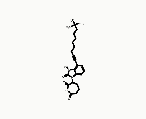 Cn1c(=O)n(C2CCCC(=O)NC2=O)c2cccc(C#CCCCCCCC(C)(C)C)c21